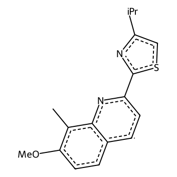 COc1ccc2[c]cc(-c3nc(C(C)C)cs3)nc2c1C